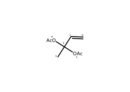 C=CC(C)(OC(C)=O)OC(C)=O